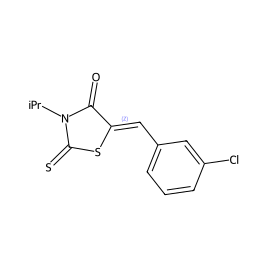 CC(C)N1C(=O)/C(=C/c2cccc(Cl)c2)SC1=S